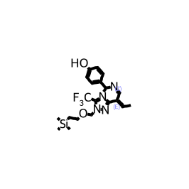 C/C=C(\C=N/C(C)c1ccc(O)cc1)c1nc(C(F)(F)F)n(COCC[Si](C)(C)C)n1